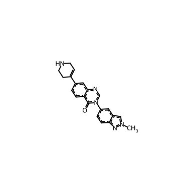 Cn1cc2cc(-n3cnc4cc(C5=CCNCC5)ccc4c3=O)ccc2n1